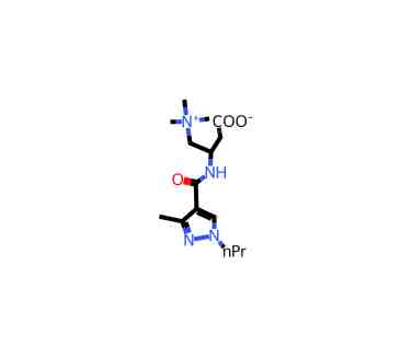 CCCn1cc(C(=O)NC(CC(=O)[O-])C[N+](C)(C)C)c(C)n1